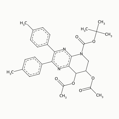 CC(=O)OC1CN(C(=O)OC(C)(C)C)c2nc(-c3ccc(C)cc3)c(-c3ccc(C)cc3)nc2C1OC(C)=O